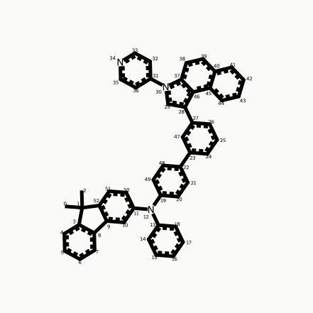 CC1(C)c2ccccc2-c2cc(N(c3ccccc3)c3ccc(-c4cccc(-c5cn(-c6ccncc6)c6ccc7ccccc7c56)c4)cc3)ccc21